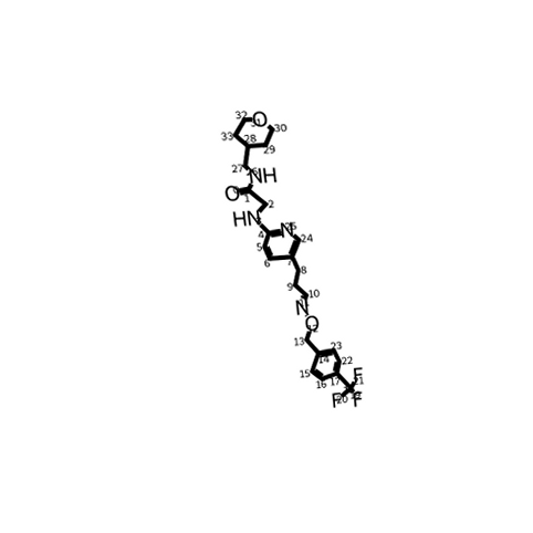 O=C(CNc1ccc(CCC=NOCc2ccc(C(F)(F)F)cc2)cn1)NCC1CCOCC1